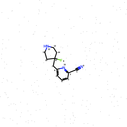 N#Cc1cccc(CC2(F)CCNCC2)n1